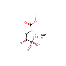 COC(=O)CCC(=O)P(=O)([O-])O.[Na+]